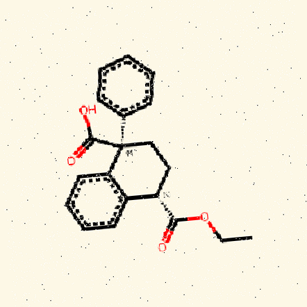 CCOC(=O)[C@H]1CC[C@@](C(=O)O)(c2ccccc2)c2ccccc21